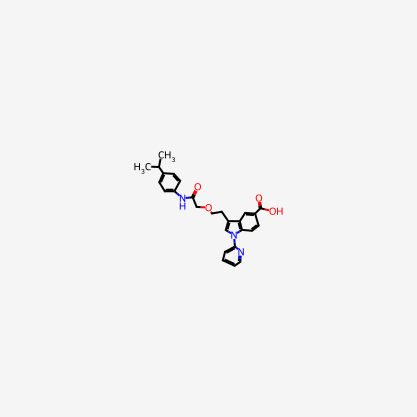 CC(C)c1ccc(NC(=O)COCCc2cn(-c3ccccn3)c3ccc(C(=O)O)cc23)cc1